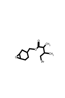 CC(C)CC(C)C(C)C(=O)OCC1CCC2OC2C1